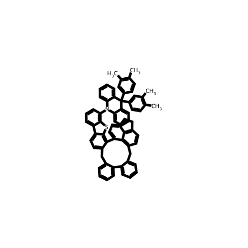 Cc1ccc(C2(c3ccc(C)c(C)c3)c3ccccc3N(c3cccc4c3sc3c5c(ccc34)Cc3ccccc3-c3ccccc3Cc3ccc4c6c(ccc-5c36)CC4)c3ccccc32)cc1C